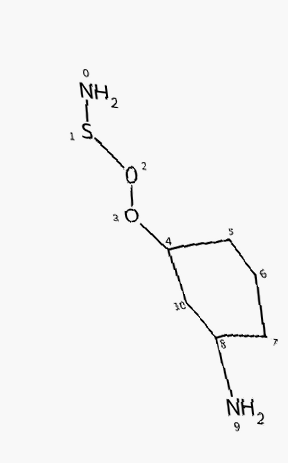 NSOOC1CCCC(N)C1